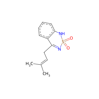 CC(C)=CCC1=NS(=O)(=O)Nc2ccccc21